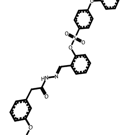 COc1cccc(CC(=O)NN=Cc2ccccc2OS(=O)(=O)c2ccc(Oc3ccccc3)cc2)c1